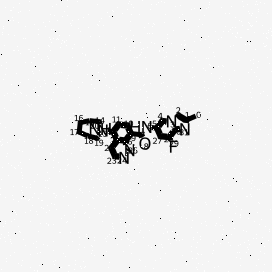 Cc1cn2cc(NC(=O)c3ccc(N4CC5CCC(C4)N5)c4ccnnc34)cc(F)c2n1